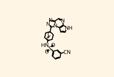 N#Cc1cccc(S(=O)(=O)NC23CCC(c4nnc5cnc6[nH]ccc6n45)(CC2)CC3)c1